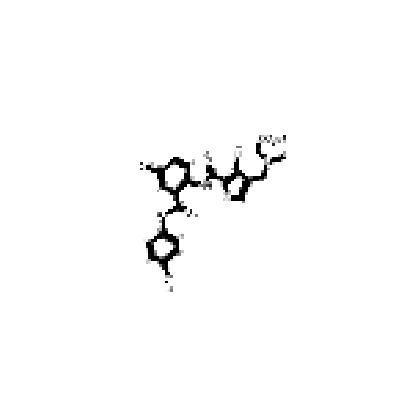 CCOC(=O)CN(C)Cc1csc(C(=O)Nc2ccc(Cl)cc2C(=O)Nc2ccc(Cl)cc2)c1Cl